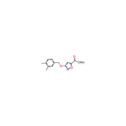 COC(=O)c1cc(OCc2ccc(C)c(C)c2)no1